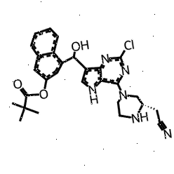 CC(C)(C)C(=O)Oc1cc(C(O)c2c[nH]c3c(N4CCN[C@@H](CC#N)C4)nc(Cl)nc23)c2ccccc2c1